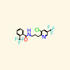 O=C(NCCCc1ncc(C(F)(F)F)cc1Cl)c1ccccc1C(F)(F)F